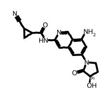 N#CC1CC1C(=O)Nc1cc2cc(N3CC[C@@H](O)C3=O)cc(N)c2cn1